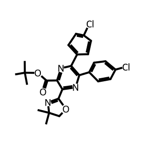 CC1(C)COC(c2nc(-c3ccc(Cl)cc3)c(-c3ccc(Cl)cc3)nc2C(=O)OC(C)(C)C)=N1